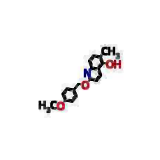 COc1ccc(COc2ccc3c(O)c(C)ccc3n2)cc1